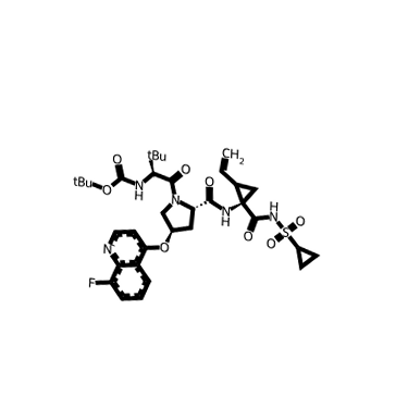 C=CC1C[C@]1(NC(=O)[C@@H]1C[C@@H](Oc2ccnc3c(F)cccc23)CN1C(=O)[C@@H](NC(=O)OC(C)(C)C)C(C)(C)C)C(=O)NS(=O)(=O)C1CC1